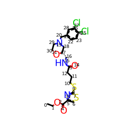 CCOC(=O)c1csc(SCCCC(=O)NC[C@H]2CN(Cc3ccc(Cl)c(Cl)c3)CCO2)n1